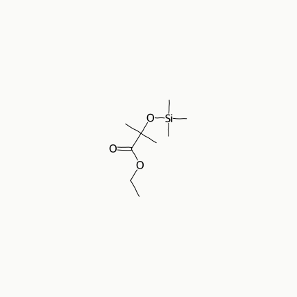 CCOC(=O)C(C)(C)O[Si](C)(C)C